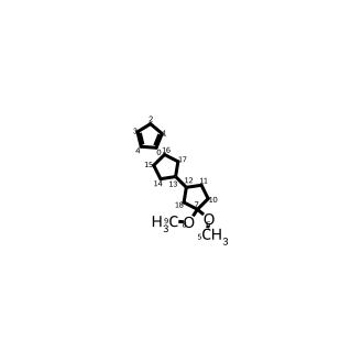 C1=CCC=C1.COC1(OC)CCC(C2CCCC2)C1